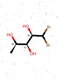 C[C@@H](O)[C@H](O)[C@@H](O)C(Br)Br